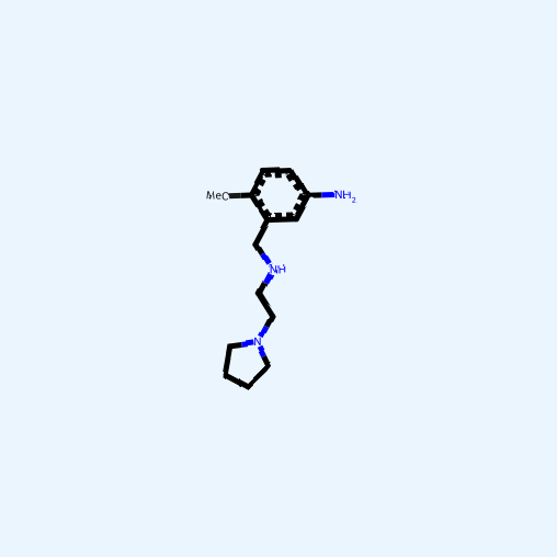 COc1ccc(N)cc1CNCCN1CCCC1